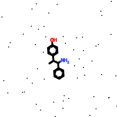 CC(c1ccc(O)cc1)C(N)c1ccccc1